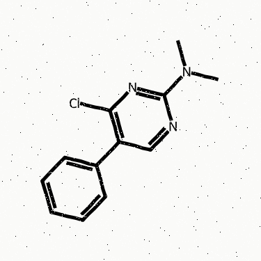 CN(C)c1ncc(-c2ccccc2)c(Cl)n1